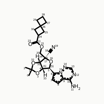 CC1(C)O[C@H]2[C@H](c3ccc4c(N)ncnn34)O[C@](C#N)(COC(=O)C3CC4(CCC4)C3)[C@H]2O1